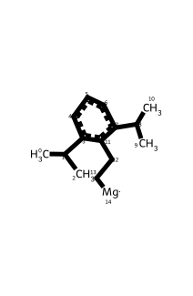 CC(C)c1cccc(C(C)C)c1C[CH2][Mg]